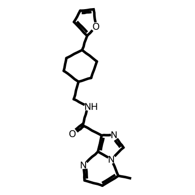 Cc1ccnc2c(C(=O)NCC3CCC(c4ccco4)CC3)ncn12